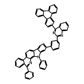 c1ccc(-c2nc3c(ccc4c5ccc(-c6cccc(-c7nc(-c8ccc9c%10ccccc%10c%10ccccc%10c9c8)c8ccccc8n7)c6)cc5n(-c5ccccc5)c43)c3ccccc23)cc1